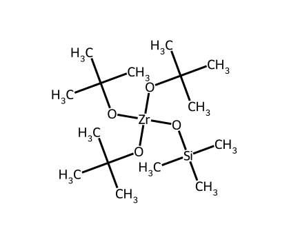 CC(C)(C)[O][Zr]([O]C(C)(C)C)([O]C(C)(C)C)[O][Si](C)(C)C